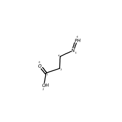 O=C(O)CCN=P